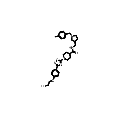 Cc1ccc(CN2CCC(CNC(=O)C3CCN(c4nc(-c5ccc(OCCO)cc5)no4)CC3)C2)cc1